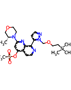 C[C@@H]1COCCN1c1cc(OS(=O)(=O)C(F)(F)F)c2ccnc(-c3ccnn3COCC[Si](C)(C)C)c2n1